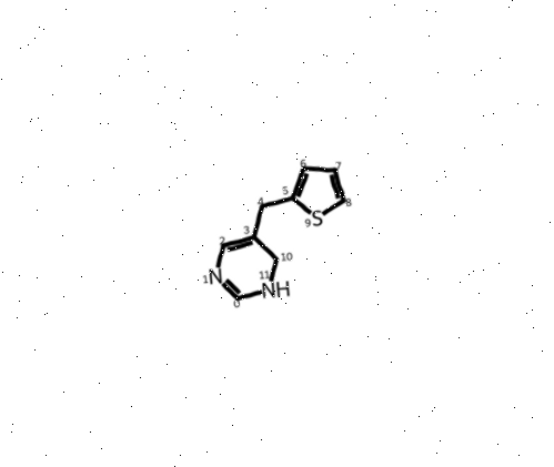 C1=NC=C(Cc2cccs2)CN1